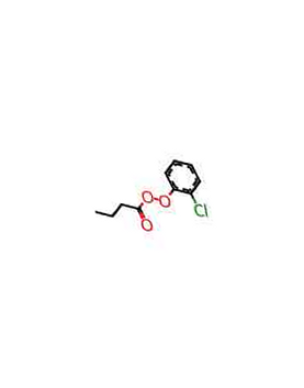 CCCC(=O)OOc1ccccc1Cl